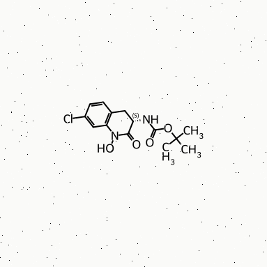 CC(C)(C)OC(=O)N[C@H]1Cc2ccc(Cl)cc2N(O)C1=O